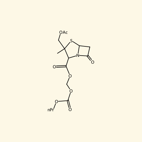 CCCOC(=O)OCOC(=O)C1N2C(=O)CC2SC1(C)COC(C)=O